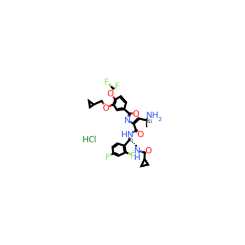 C[C@H](N)c1oc(-c2ccc(OC(F)F)c(OCC3CC3)c2)nc1C(=O)N[C@H](CNC(=O)C1CC1)c1ccc(F)cc1F.Cl